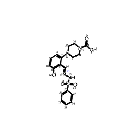 O=C(O)N1CCN(c2cccc(Cl)c2/C=N/NS(=O)(=O)c2ccccc2)CC1